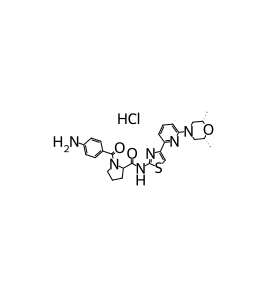 C[C@@H]1CN(c2cccc(-c3csc(NC(=O)C4CCCN4C(=O)c4ccc(N)cc4)n3)n2)C[C@H](C)O1.Cl